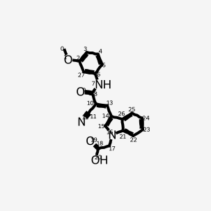 COc1cccc(NC(=O)/C(C#N)=C/c2cn(CC(=O)O)c3ccccc23)c1